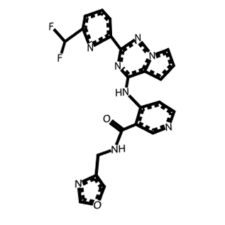 O=C(NCc1cocn1)c1cnccc1Nc1nc(-c2cccc(C(F)F)n2)nn2cccc12